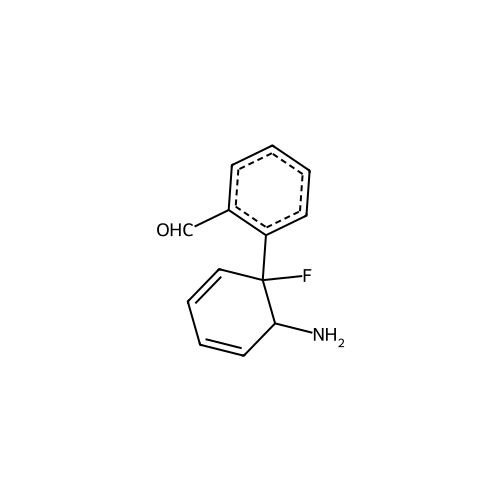 NC1C=CC=CC1(F)c1ccccc1C=O